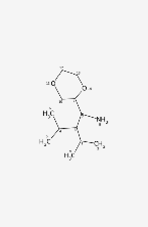 CC(C)C(C(C)C)C(N)C1COCCO1